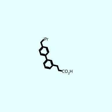 CC(C)Cc1ccc(-c2cccc(CCC(=O)O)c2)cc1